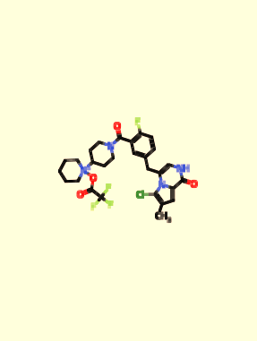 Cc1cc2c(=O)[nH]cc(Cc3ccc(F)c(C(=O)N4CCC([N+]5(OC(=O)C(F)(F)F)CCCCC5)CC4)c3)n2c1Cl